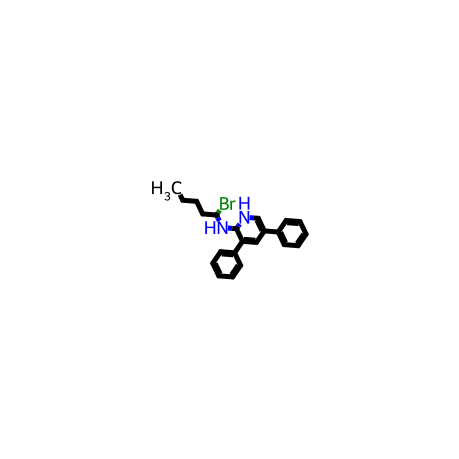 CCCCC(Br)NC1NC=C(c2ccccc2)C=C1c1ccccc1